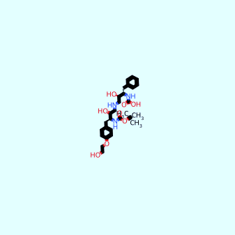 CC(C)(C)OC(=O)N[C@@H](Cc1ccc(OCCO)cc1)C(O)CNC[C@@H](O)[C@H](Cc1ccccc1)NC(=O)O